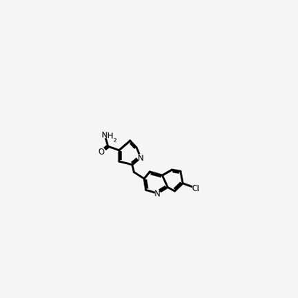 NC(=O)c1ccnc(Cc2cnc3cc(Cl)ccc3c2)c1